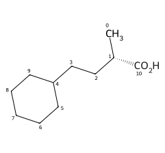 C[C@@H](CCC1CCCCC1)C(=O)O